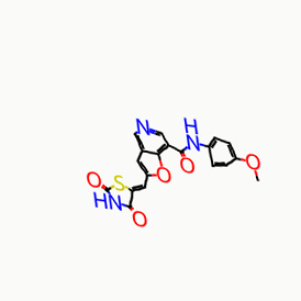 COc1ccc(NC(=O)c2cncc3cc(/C=C4\SC(=O)NC4=O)oc23)cc1